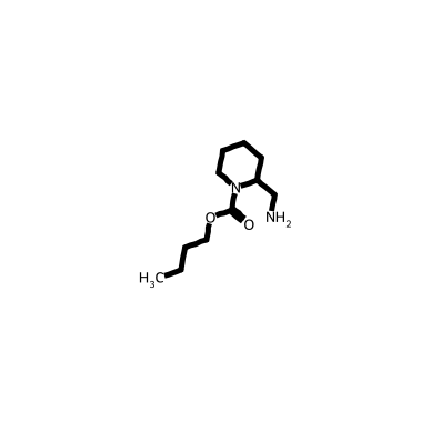 CCCCOC(=O)N1CCCCC1CN